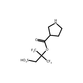 O=C(OC(CS(=O)(=O)O)(C(F)(F)F)C(F)(F)F)C1CCNC1